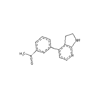 CC(=O)c1cccc(-c2ccnc3c2CCN3)c1